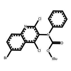 CC(C)(C)OC(=O)N(c1ccccc1)c1c(Cl)nc2ccc(Br)cc2c1Cl